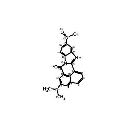 CN(C)c1cc2cccc3c2c(c1)c(=O)n1c2ccc([N+](=O)[O-])cc2nc31